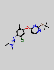 CCN(C)/C=N/c1cc(C)c(Oc2ccnc(SC(C)(C)C)n2)cc1Cl